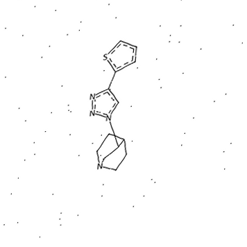 c1csc(-c2cn(C3CN4CCC3CC4)nn2)c1